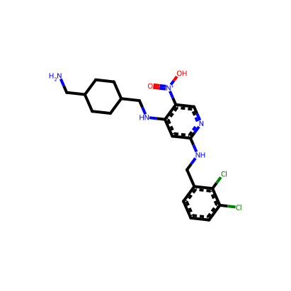 NCC1CCC(CNc2cc(NCc3cccc(Cl)c3Cl)ncc2[N+](=O)O)CC1